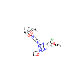 COc1ccc(-c2nc(N3CC4=C(CN(C(=O)OC(C)(C)C)C4)C3)nc3c2ncn3C2CCCCO2)cc1Br